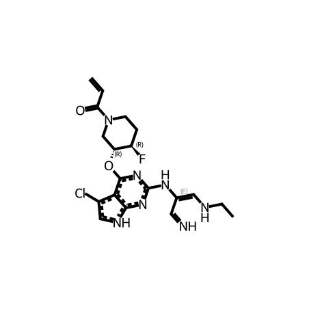 C=CC(=O)N1CC[C@@H](F)[C@H](Oc2nc(N/C(C=N)=C/NCC)nc3[nH]cc(Cl)c23)C1